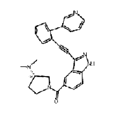 CN(C)[C@H]1CCN(C(=O)c2ccc3[nH]nc(C#Cc4ccccc4-c4cccnc4)c3c2)C1